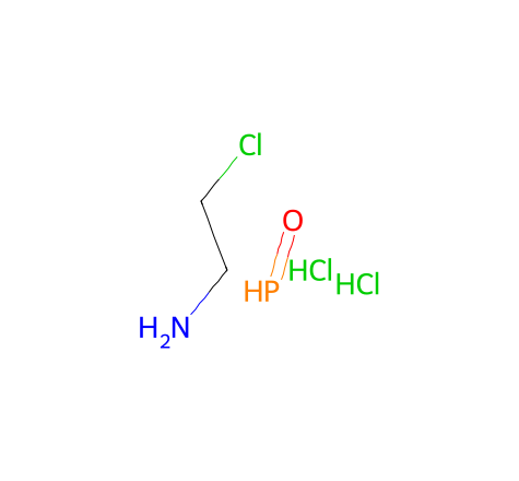 Cl.Cl.NCCCl.O=P